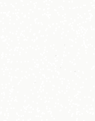 Cc1ccc(C(P=O)c2ccccc2)cc1